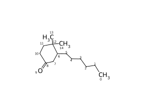 CCCCCCC1CC(=O)CCC1(C)C